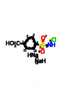 O=C(O)c1ccc(S(=O)(=O)NCl)cc1.[NaH].[NaH]